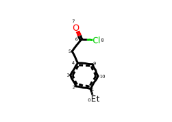 CCc1ccc(CC(=O)Cl)cc1